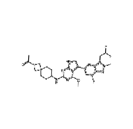 COc1nc(NC2CCC3(CC2)CN(C(C)=O)C3)nc2[nH]cc(-c3cc(F)c4nc(C)n(CC(F)F)c4c3)c12